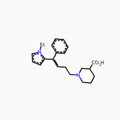 CCn1cccc1/C(=C/CCN1CCCC(C(=O)O)C1)c1ccccc1